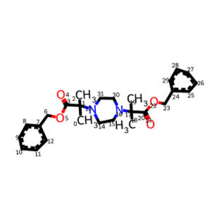 CC(C)(C(=O)OCc1ccccc1)N1CCN(C(C)(C)C(=O)OCc2ccccc2)CC1